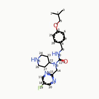 CC(C)COc1ccc(CNC(=O)N(Cc2ncc(F)cn2)C2CCNCC2)cc1